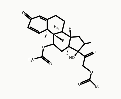 CCC(=O)OCC(=O)[C@@]1(O)C(C)C[C@H]2[C@@H]3CCC4=CC(=O)C=C[C@]4(C)[C@@]3(F)C(OC(=O)C(F)(F)F)C[C@@]21C